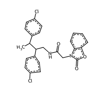 CC(c1ccc(Cl)cc1)C(CNC(=O)Cn1c(=O)oc2ccccc21)c1ccc(Cl)cc1